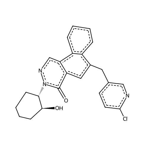 O=c1c2cc(Cc3ccc(Cl)nc3)c3ccccc3c2cnn1[C@H]1CCCC[C@@H]1O